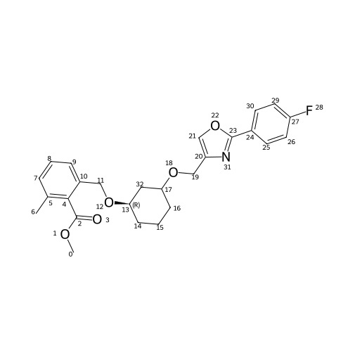 COC(=O)c1c(C)cccc1CO[C@@H]1CCCC(OCc2coc(-c3ccc(F)cc3)n2)C1